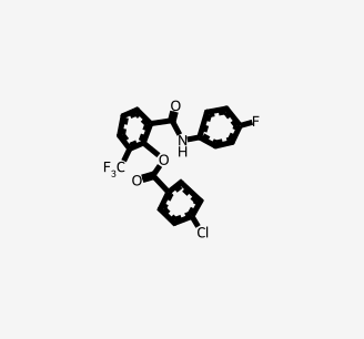 O=C(Oc1c(C(=O)Nc2ccc(F)cc2)cccc1C(F)(F)F)c1ccc(Cl)cc1